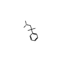 CN(C)CC(C)(C)c1cc[c]cc1